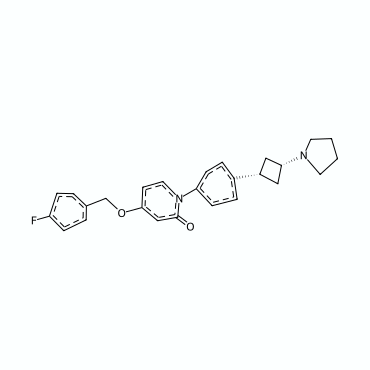 O=c1cc(OCc2ccc(F)cc2)ccn1-c1ccc([C@H]2C[C@@H](N3CCCC3)C2)cc1